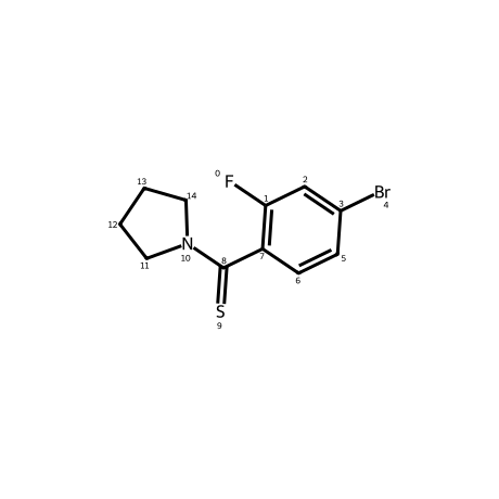 Fc1cc(Br)ccc1C(=S)N1CCCC1